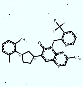 Cc1cnc2cc([C@H]3CC[C@@H](c4c(C)cccc4F)C3)c(=O)n(Cc3ncccc3C(F)(F)F)c2n1